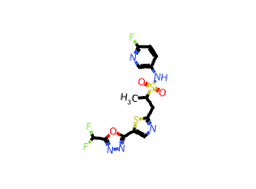 CC(Cc1ncc(-c2nnc(C(F)F)o2)s1)S(=O)(=O)Nc1ccc(F)nc1